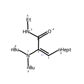 CCCCCCC/C=C(\C(=O)NCC)N(CCCC)CCCC